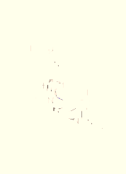 CC(C)N/C(=C\C(=N)c1cnc(N)c(OC(F)(F)F)c1)[C@H]1[C@@H]2CC(N3CCO[C@@H](C)C3)C[C@@H]21